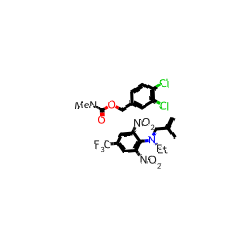 C=C(C)CN(CC)c1c([N+](=O)[O-])cc(C(F)(F)F)cc1[N+](=O)[O-].CNC(=O)OCc1ccc(Cl)c(Cl)c1